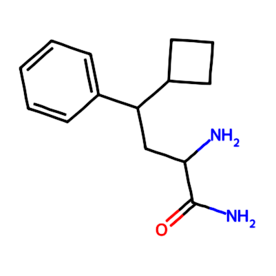 NC(=O)C(N)CC(c1ccccc1)C1CCC1